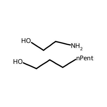 CCCCCCCCO.NCCO